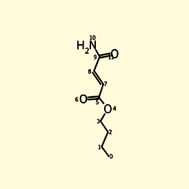 CCCCOC(=O)C=CC(N)=O